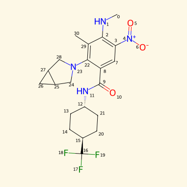 CNc1c([N+](=O)[O-])cc(C(=O)N[C@H]2CC[C@H](C(F)(F)F)CC2)c(N2CC3CC3C2)c1C